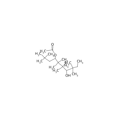 CCC(C)(C)C(O)C(C)(C)C(C)(C)C(CC(C)(C)C)OC(C)=O